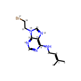 CC(C)=CCNc1ncnc2c1ncn2CCBr